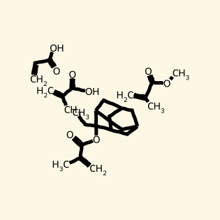 C=C(C)C(=O)O.C=C(C)C(=O)OC.C=C(C)C(=O)OC1(CC)C2CC3CC(C2)CC1C3.C=CC(=O)O